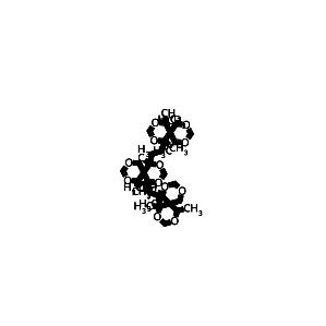 CC1OCOC(C)(CCC2(C)OCOC(C)(CCC3(C)OCOC(C)(C)C34C(C)OCO[C@@H]4C)C23COCOC3(C)C)C12COCOC2(C)C